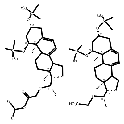 CCC(CC)OC(=O)CO[C@@H](C)[C@H]1CCC2C3=CC=C4C[C@@H](O[Si](C)(C)C(C)(C)C)C[C@H](O[Si](C)(C)C(C)(C)C)[C@]4(C)C3CC[C@@]21C.C[C@H](OCC(=O)O)[C@H]1CCC2C3=CC=C4C[C@@H](O[Si](C)(C)C(C)(C)C)C[C@H](O[Si](C)(C)C(C)(C)C)[C@]4(C)C3CC[C@@]21C